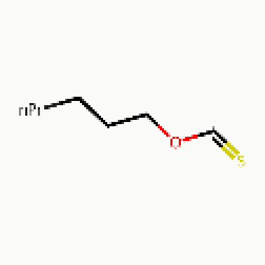 CCCCCCO[C]=S